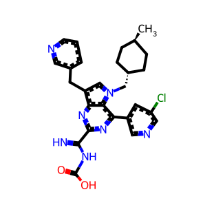 C[C@H]1CC[C@H](Cn2cc(Cc3cccnc3)c3nc(C(=N)NC(=O)O)nc(-c4cncc(Cl)c4)c32)CC1